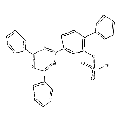 O=S(=O)(Oc1cc(-c2nc(-c3ccccc3)nc(-c3ccccc3)n2)ccc1-c1ccccc1)C(F)(F)F